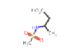 CC(CC(=O)O)NS(C)(=O)=O